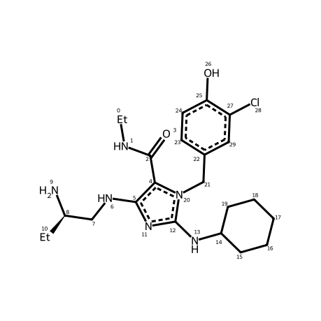 CCNC(=O)c1c(NC[C@H](N)CC)nc(NC2CCCCC2)n1Cc1ccc(O)c(Cl)c1